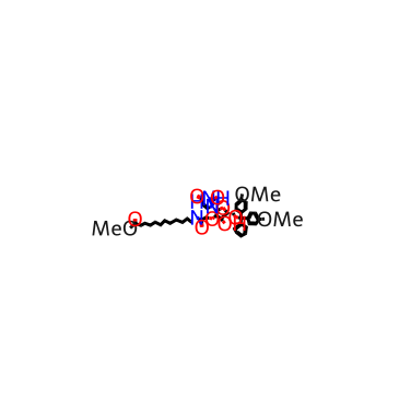 COC(=O)CCCCCCCCCCCNC(=O)COC1C(O)[C@@H](COC(c2ccccc2)(c2ccc(OC)cc2)c2ccc(OC)cc2)O[C@H]1n1ccc(=O)[nH]c1=O